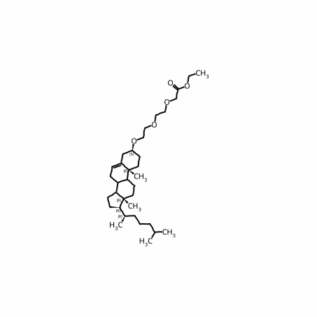 CCOC(=O)COCCOCCO[C@H]1CC[C@@]2(C)C(=CCC3C2CC[C@@]2(C)C3CC[C@@H]2[C@H](C)CCCC(C)C)C1